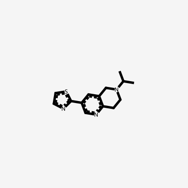 CC(C)N1CCc2ncc(-c3nccs3)cc2C1